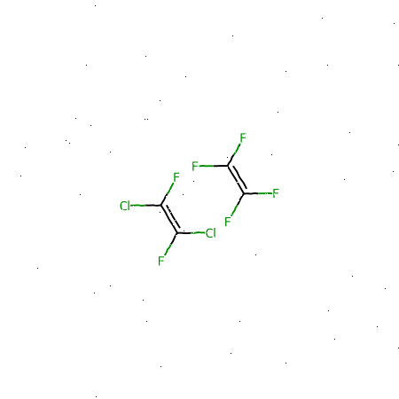 FC(Cl)=C(F)Cl.FC(F)=C(F)F